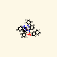 O=S1(=O)c2ccc3ccccc3c2-c2ccc3c4ccccc4n(-c4nc(-c5ccccc5)c5ccccc5n4)c3c2N1c1ccccc1